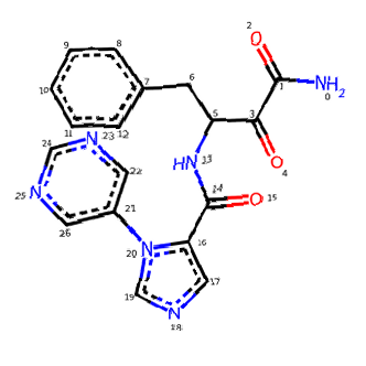 NC(=O)C(=O)C(Cc1ccccc1)NC(=O)c1cncn1-c1cncnc1